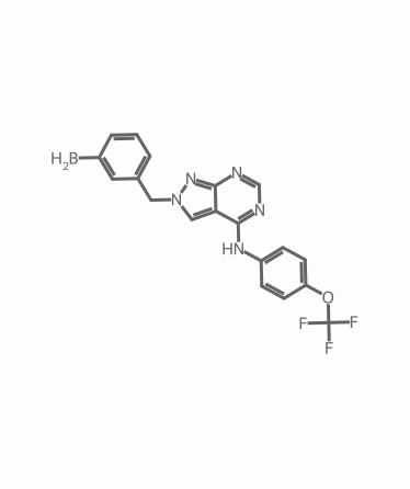 Bc1cccc(Cn2cc3c(Nc4ccc(OC(F)(F)F)cc4)ncnc3n2)c1